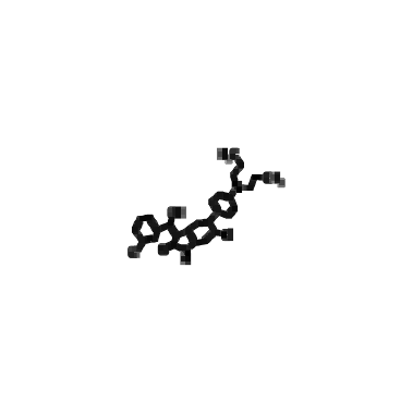 CCCN(CCC)c1ccc(-c2cc3c(cc2Cl)NC(=O)C3=C(O)c2cccc(Cl)c2)cc1